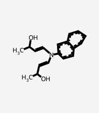 CC(O)C=CN(C=CC(C)O)c1ccc2ccccc2c1